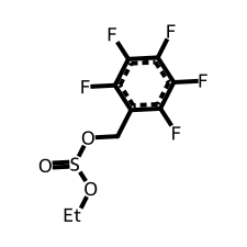 CCOS(=O)OCc1c(F)c(F)c(F)c(F)c1F